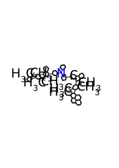 CC1(C)c2ccccc2-c2cc3c(cc21)-c1c(cc(-c2ccc(N(c4ccccc4)c4cccc(-c5ccc6c(c5)c5c(c7ccccc76)C(C)(C)c6cc7c(cc6-5)C(C)(C)c5cc6ccc8cccc9ccc(c5-7)c6c89)c4)cc2)c2ccccc12)C3(C)C